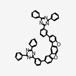 c1ccc(-c2nc(-c3ccccc3)nc(-c3cccc(-c4ccc5oc6cc7oc8ccc(-c9cccc(-c%10nc(-c%11ccccc%11)nc(-c%11ccccc%11)n%10)c9)cc8c7cc6c5c4)c3)n2)cc1